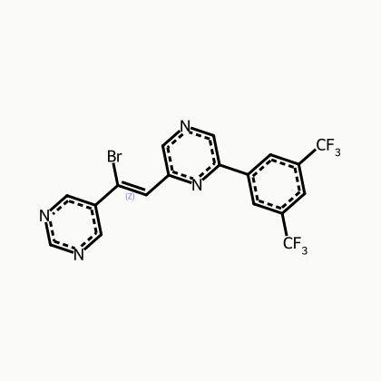 FC(F)(F)c1cc(-c2cncc(/C=C(\Br)c3cncnc3)n2)cc(C(F)(F)F)c1